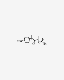 CCC(=O)ONC(=O)Nc1ccc(C(C)(C)C)cc1